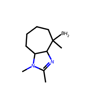 BC1(C)CCCCC2C1N=C(C)N2C